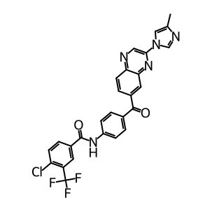 Cc1cn(-c2cnc3ccc(C(=O)c4ccc(NC(=O)c5ccc(Cl)c(C(F)(F)F)c5)cc4)cc3n2)cn1